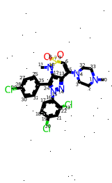 CN1CCN(C2=CS(=O)(=O)N(C)c3c2nn(-c2ccc(Cl)cc2Cl)c3-c2ccc(Cl)cc2)CC1